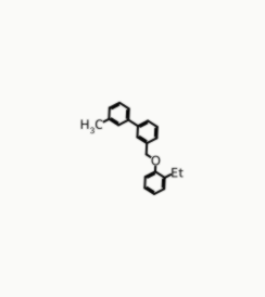 CCc1ccccc1OCc1cccc(-c2cccc(C)c2)c1